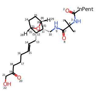 CCCCCC(=O)NC(C)(C)C(=O)NC[C@@H]1[C@H](CC=CCCCC(=O)CO)[C@@H]2CC[C@H]1O2